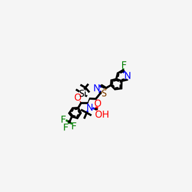 CC(C)(C)N(C(=O)O)[C@H](CCc1ncc(-c2ccc3cnc(F)cc3c2)s1)[C@@H](O[Si](C)(C)C(C)(C)C)c1ccc(C(F)(F)F)cc1